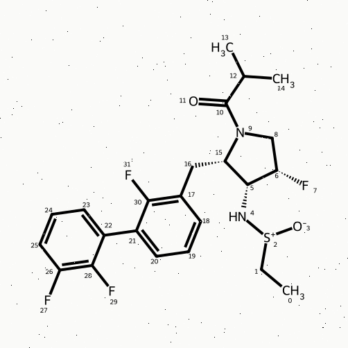 CC[S+]([O-])N[C@H]1[C@@H](F)CN(C(=O)C(C)C)[C@H]1Cc1cccc(-c2cccc(F)c2F)c1F